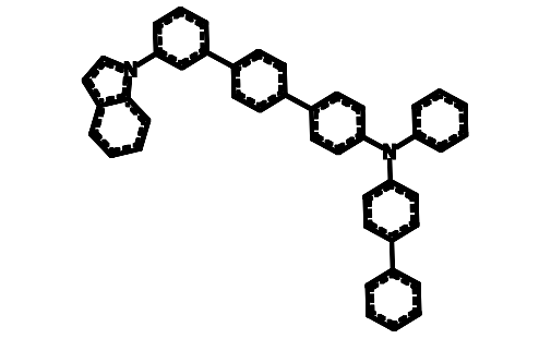 c1ccc(-c2ccc(N(c3ccccc3)c3ccc(-c4ccc(-c5cccc(-n6ccc7ccccc76)c5)cc4)cc3)cc2)cc1